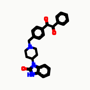 O=C(C(=O)c1ccc(CN2CCC(n3c(=O)[nH]c4ccccc43)CC2)cc1)c1ccccc1